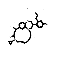 CCCc1cc(Cl)ccc1C1COc2ccc3cc2N(CCCC/C=C/CN(C2CC2)C(=O)CC3C)C1